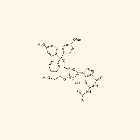 COCCO[C@H]1[C@@H](O)[C@H](n2cnc3c(=O)[nH]c(NC(=O)C(C)C)nc32)O[C@@H]1COC(c1ccccc1)(c1ccc(OC)cc1)c1ccc(OC)cc1